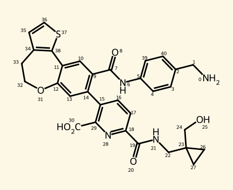 NCc1ccc(NC(=O)c2cc3c(cc2-c2ccc(C(=O)NCC4(CO)CC4)nc2C(=O)O)OCCc2ccsc2-3)cc1